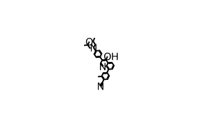 Cc1cc(-c2cccc3c(O)c(-c4ccc(N5CC(C)OC(C)C5)cc4)cnc23)ccc1C#N